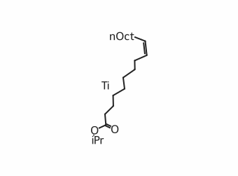 CCCCCCCC/C=C\CCCCCCCC(=O)OC(C)C.[Ti]